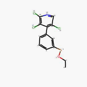 CCOSc1cccc(-c2c(Cl)cnc(Cl)c2Cl)c1